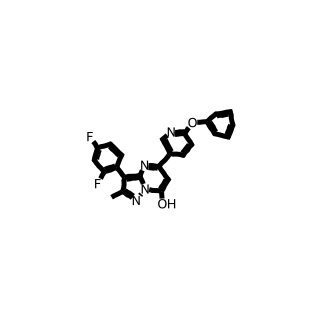 Cc1nn2c(O)cc(-c3ccc(Oc4ccccc4)nc3)nc2c1-c1ccc(F)cc1F